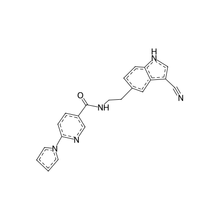 N#Cc1c[nH]c2ccc(CCNC(=O)c3ccc(-n4cccc4)nc3)cc12